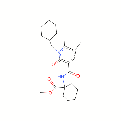 COC(=O)C1(NC(=O)c2cc(C)c(C)n(CC3CCCCC3)c2=O)CCCCC1